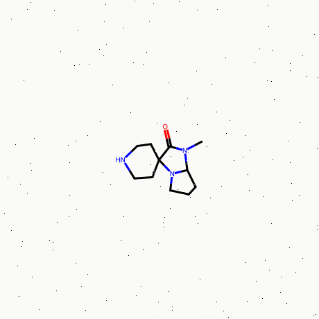 CN1C(=O)C2(CCNCC2)N2CCCC12